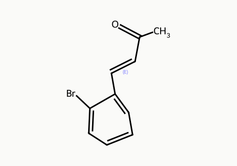 CC(=O)/C=C/c1ccccc1Br